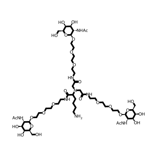 CC(=O)N[C@@H]1[C@@H](OCCOCCOCCNC(=O)CN(CC(=O)NCCOCCOCCO[C@H]2O[C@@H](CO)[C@@H](O)[C@@H](O)[C@@H]2NC(C)=O)C(CCCCN)C(=O)NCCOCCOCCO[C@H]2O[C@@H](CO)[C@@H](O)[C@@H](O)[C@@H]2NC(C)=O)O[C@@H](CO)[C@@H](O)[C@H]1O